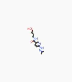 CC(C)=NNc1ccc(C(=O)NCCCCO)cn1